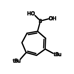 CC(C)(C)C1=CC(B(O)O)=CCC(C(C)(C)C)=C1